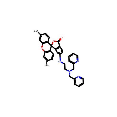 CC(=O)Oc1ccc2c(c1)Oc1cc(OC(C)=O)ccc1C21OC(=O)c2ccc(NCCN(Cc3ccccn3)Cc3ccccn3)cc21